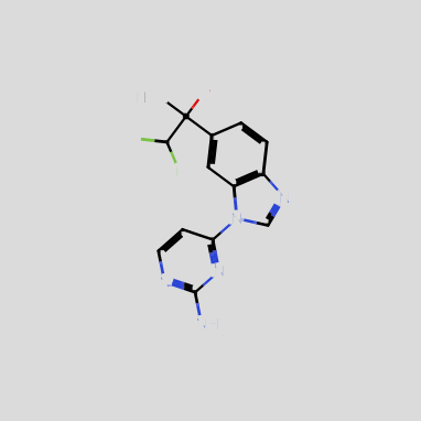 CC(O)(c1ccc2ncn(-c3ccnc(N)n3)c2c1)C(F)F